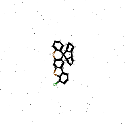 Clc1cccc2c1sc1cc3c(cc12)C1(c2ccccc2S3)c2ccccc2-c2ccccc21